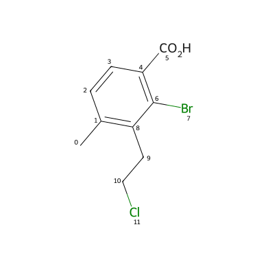 Cc1ccc(C(=O)O)c(Br)c1CCCl